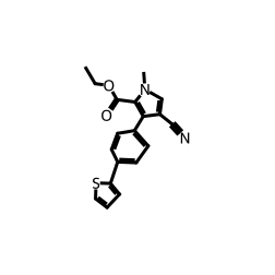 CCOC(=O)c1c(-c2ccc(-c3cccs3)cc2)c(C#N)cn1C